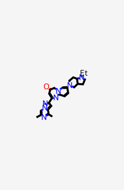 CCN1CCC2CN(C3=CN4CC(=O)C=C(c5cc6c(C)nc(C)cn6n5)N=C4C=C3)CCC21